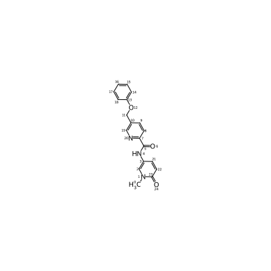 Cn1cc(NC(=O)c2ccc(COc3ccccc3)cn2)ccc1=O